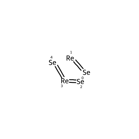 [Se]=[Re].[Se]=[Re]=[Se]